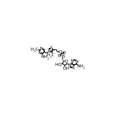 Cc1ncc(C[n+]2csc(CCOP(=O)([O-])OC[C@H]3O[C@@H](n4cnc5c(N)ncnc54)C(O)C3O)c2C)c(N)n1